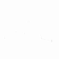 CC(C)COS(=O)OCC(C)C